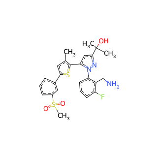 Cc1cc(-c2cccc(S(C)(=O)=O)c2)sc1-c1cc(C(C)(C)O)nn1-c1cccc(F)c1CN